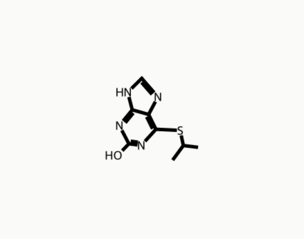 CC(C)Sc1nc(O)nc2[nH]cnc12